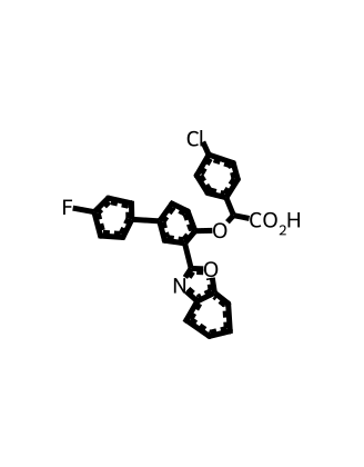 O=C(O)C(Oc1ccc(-c2ccc(F)cc2)cc1-c1nc2ccccc2o1)c1ccc(Cl)cc1